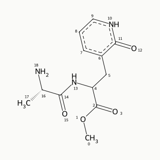 COC(=O)C(Cc1ccc[nH]c1=O)NC(=O)[C@H](C)N